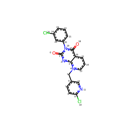 O=c1nc2n(Cc3ccc(Cl)nc3)cccc-2c(=O)n1-c1cccc(Cl)c1